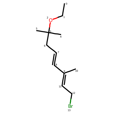 CCOC(C)(C)C/C=C/C(C)=C/CBr